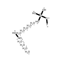 O.O.O.O.O.O.O.O.O.O=[N+]([O-])O.O[Si](O)(O)OF